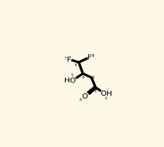 O=C(O)CC(O)C(F)F